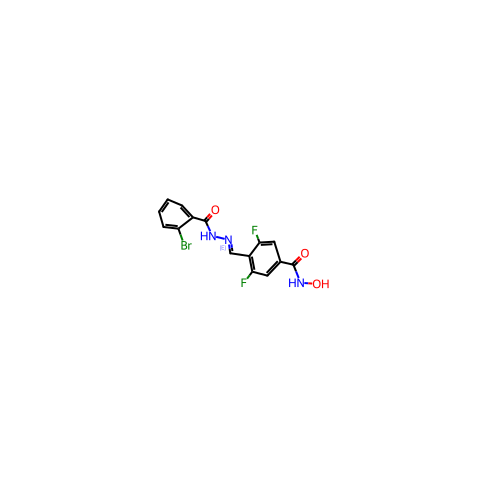 O=C(NO)c1cc(F)c(/C=N/NC(=O)c2ccccc2Br)c(F)c1